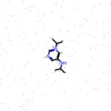 CC(C)Nc1cnc[n+](C(C)C)c1